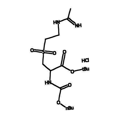 CCCCOC(=O)NC(CS(=O)(=O)CCNC(C)=N)C(=O)OC(C)(C)C.Cl